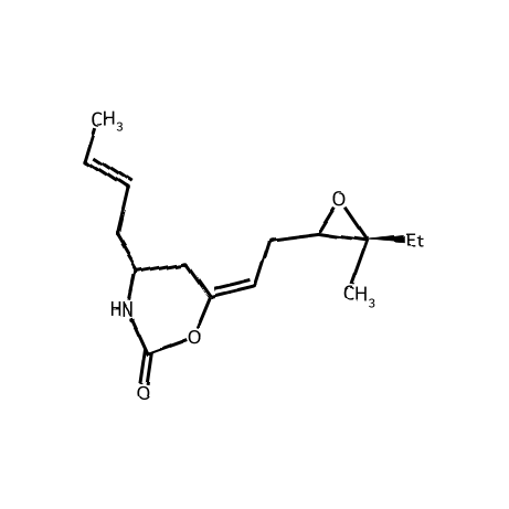 C/C=C/CC1C/C(=C\CC2O[C@@]2(C)CC)OC(=O)N1